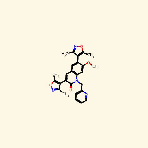 COc1cc2c(cc1-c1c(C)noc1C)cc(-c1c(C)noc1C)c(=O)n2Cc1ccccn1